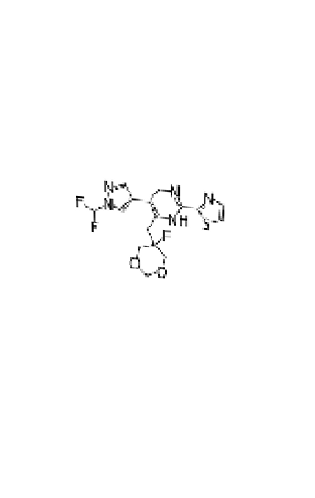 FC(F)n1cc(C2=C(CC3(F)COCOC3)NC(c3nccs3)=NC2)cn1